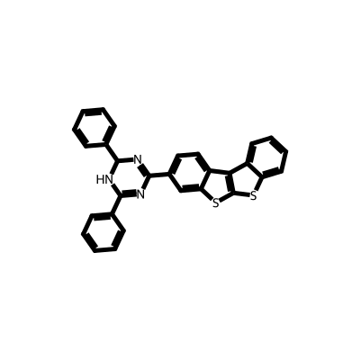 c1ccc(C2=NC(c3ccc4c(c3)sc3sc5ccccc5c34)=NC(c3ccccc3)N2)cc1